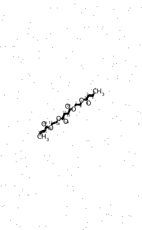 CC=CC(=O)OCCOC(=O)CCC(=O)OCCOC(=O)C=CC